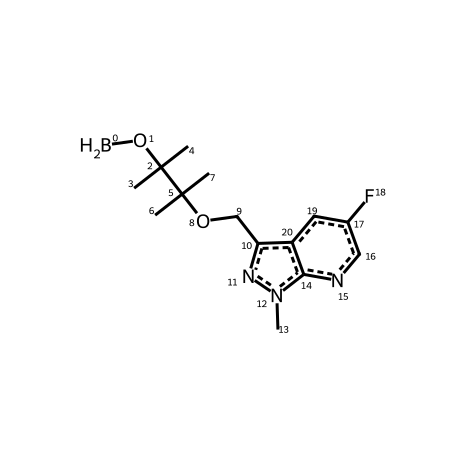 BOC(C)(C)C(C)(C)OCc1nn(C)c2ncc(F)cc12